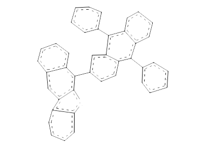 c1ccc(-c2c3ccccc3c(-c3ccccc3)c3cc(-c4c5ccccc5cc5c4oc4ccccc45)ccc23)cc1